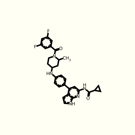 CC1CC(Nc2ccc(-c3cc(NC(=O)C4CC4)nc4[nH]ccc34)cc2)CCN1C(=O)c1cc(F)cc(F)c1